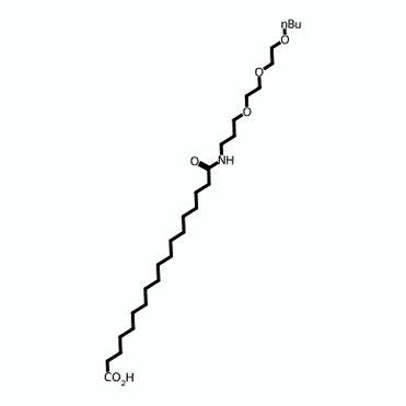 CCCCOCCOCCOCCCNC(=O)CCCCCCCCCCCCCCCCC(=O)O